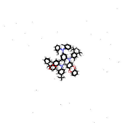 Cc1ccccc1N(c1cc2c3c(c1)N(c1cc4c(cc1C)C(C)(C)CCC4(C)C)c1cc4c(cc1B3N(c1ccc(C(C)(C)C)cc1-c1ccccc1)c1cc3c(cc1-2)-c1ccccc1C3(C)C)Oc1ccccc1O4)c1ccccc1C